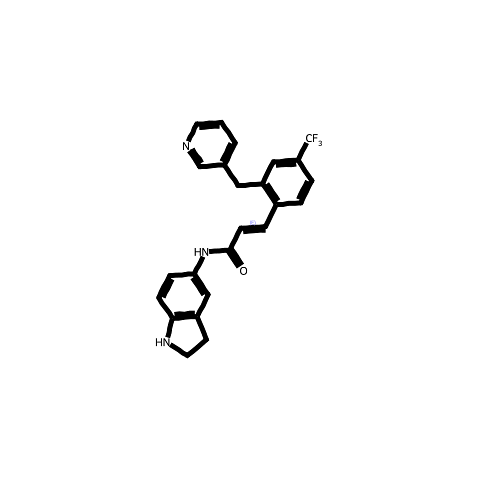 O=C(/C=C/c1ccc(C(F)(F)F)cc1Cc1cccnc1)Nc1ccc2c(c1)CCN2